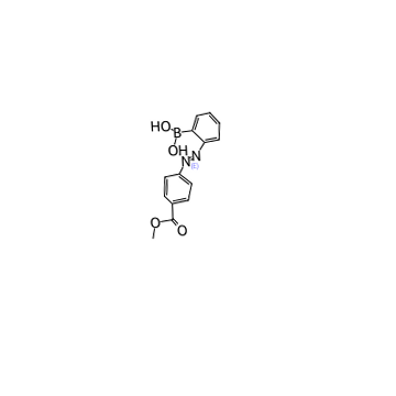 COC(=O)c1ccc(/N=N/c2ccccc2B(O)O)cc1